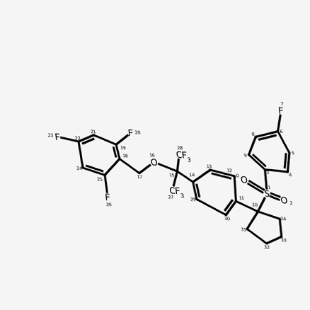 O=S(=O)(c1ccc(F)cc1)C1(c2ccc(C(OCc3c(F)cc(F)cc3F)(C(F)(F)F)C(F)(F)F)cc2)CCCC1